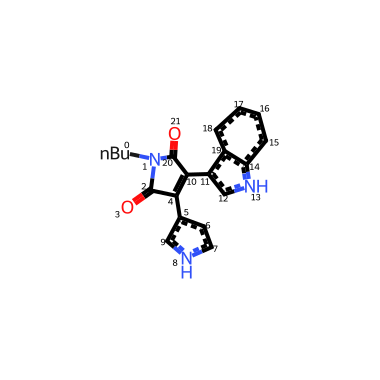 CCCCN1C(=O)C(c2cc[nH]c2)=C(c2c[nH]c3ccccc23)C1=O